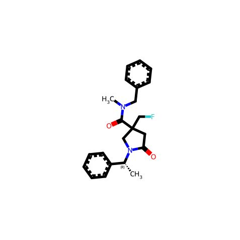 C[C@H](c1ccccc1)N1CC(CF)(C(=O)N(C)Cc2ccccc2)CC1=O